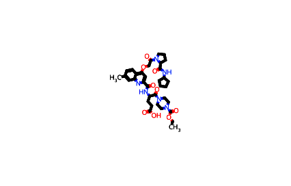 CCOC(=O)N1CCN(C(=O)C(CCC(=O)O)NC(=O)c2cc(OCC(=O)N3CCCC3C(=O)NC3CCCC3)c3ccc(C)cc3n2)CC1